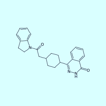 O=C(CC1CCC(c2n[nH]c(=O)c3ccccc23)CC1)N1CCc2ccccc21